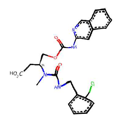 CN(C(=O)NCc1ccccc1Cl)[C@H](COC(=O)Nc1cc2ccccc2cn1)CC(=O)O